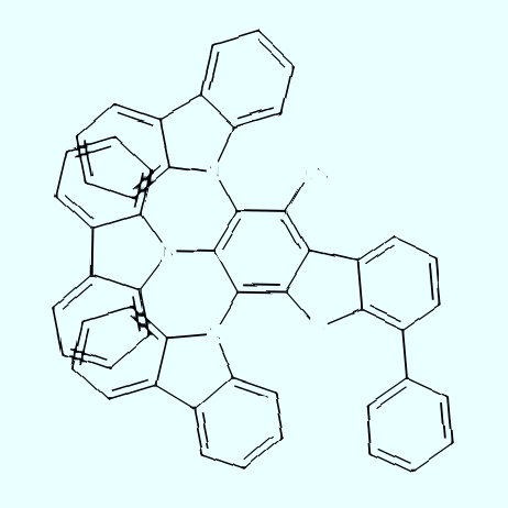 N#Cc1c(-n2c3ccccc3c3ccccc32)c(-n2c3ccccc3c3ccccc32)c(-n2c3ccccc3c3ccccc32)c2oc3c(-c4ccccc4)cccc3c12